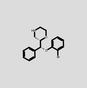 Brc1ccccc1O[C@H](c1ccccc1)[C@@H]1CNCCO1